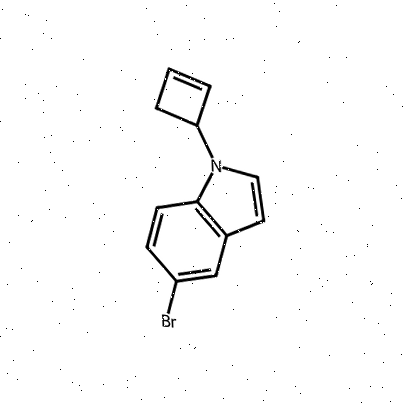 Brc1ccc2c(ccn2C2C=CC2)c1